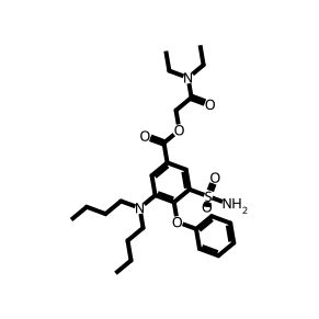 CCCCN(CCCC)c1cc(C(=O)OCC(=O)N(CC)CC)cc(S(N)(=O)=O)c1Oc1ccccc1